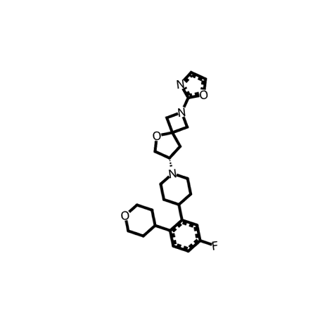 Fc1ccc(C2CCOCC2)c(C2CCN([C@@H]3COC4(C3)CN(c3ncco3)C4)CC2)c1